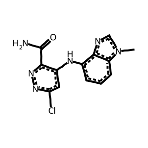 Cn1cnc2c(Nc3cc(Cl)nnc3C(N)=O)cccc21